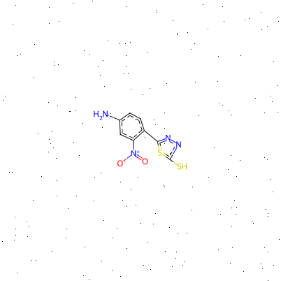 Nc1ccc(-c2nnc(S)s2)c([N+](=O)[O-])c1